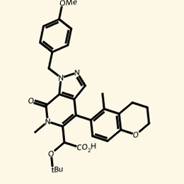 COc1ccc(Cn2ncc3c(-c4ccc5c(c4C)CCCO5)c(C(OC(C)(C)C)C(=O)O)n(C)c(=O)c32)cc1